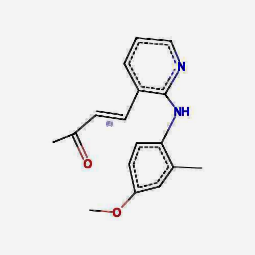 COc1ccc(Nc2ncccc2/C=C/C(C)=O)c(C)c1